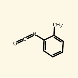 [CH2]c1ccccc1N=C=O